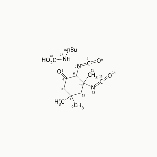 CC1(C)CC(=O)C(N=C=O)C(C)(N=C=O)C1.CCCCNC(=O)O